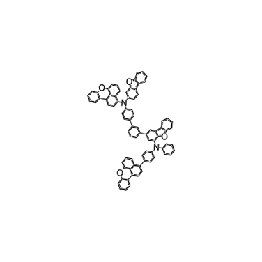 c1ccc(N(c2ccc(-c3ccc4c5c(cccc35)Oc3ccccc3-4)cc2)c2cc(-c3cccc(-c4ccc(N(c5ccc6c(c5)oc5ccccc56)c5ccc6c7c(cccc57)Oc5ccccc5-6)cc4)c3)cc3c2oc2ccccc23)cc1